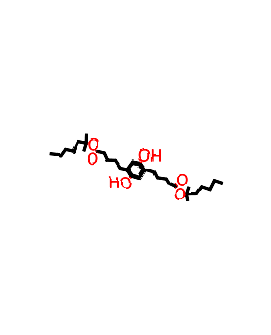 CCCCCC(C)(C)OC(=O)CCCCc1cc(O)c(CCCCC(=O)OC(C)(C)CCCCC)cc1O